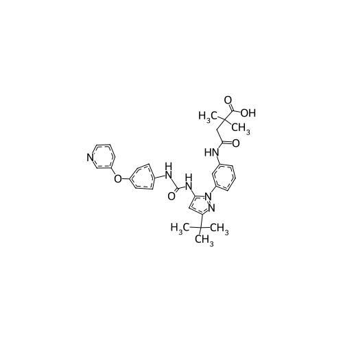 CC(C)(CC(=O)Nc1cccc(-n2nc(C(C)(C)C)cc2NC(=O)Nc2ccc(Oc3cccnc3)cc2)c1)C(=O)O